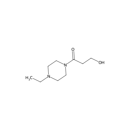 CCN1CCN(C(=O)CCO)CC1